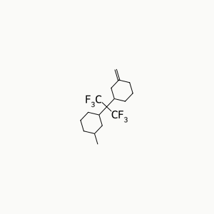 C=C1CCCC(C(C2CCCC(C)C2)(C(F)(F)F)C(F)(F)F)C1